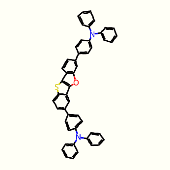 c1ccc(N(c2ccccc2)c2ccc(-c3ccc4c(c3)oc3c5cc(-c6ccc(N(c7ccccc7)c7ccccc7)cc6)ccc5sc43)cc2)cc1